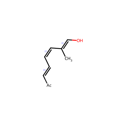 CC(=O)/C=C/C=C\C(C)=C\O